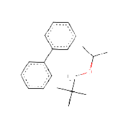 CC(C)O[SiH2]C(C)(C)C.c1ccc(-c2ccccc2)cc1